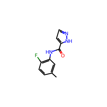 Cc1ccc(F)c(NC(=O)c2ccn[nH]2)c1